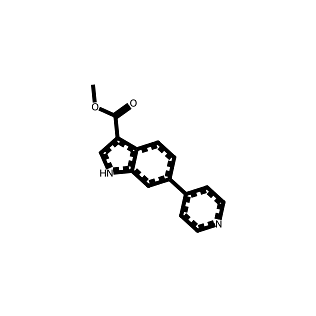 COC(=O)c1c[nH]c2cc(-c3ccncc3)ccc12